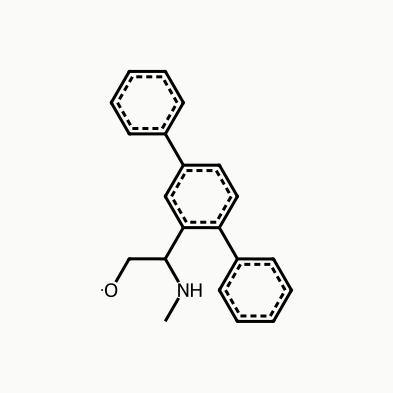 CNC(C[O])c1cc(-c2ccccc2)ccc1-c1ccccc1